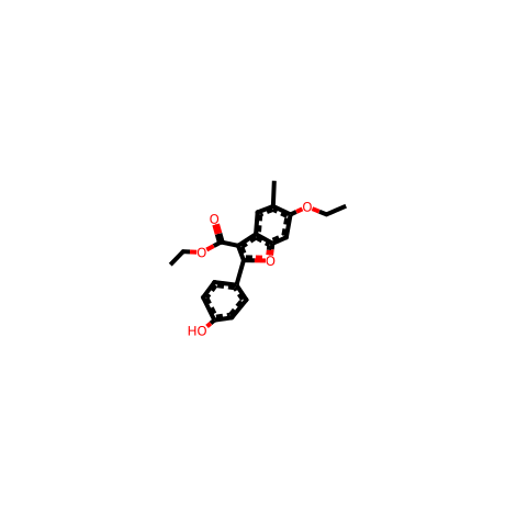 CCOC(=O)c1c(-c2ccc(O)cc2)oc2cc(OCC)c(C)cc12